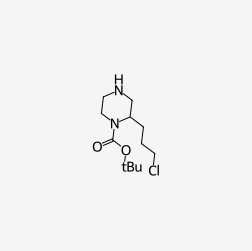 CC(C)(C)OC(=O)N1CCNCC1CCCCl